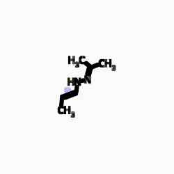 C/C=C/NN=C(C)C